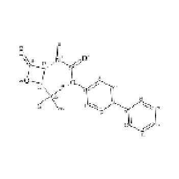 CN(C(=O)Oc1ccc(-c2ccccc2)cc1)[C@H]1C(=O)O[C@H]1C(C)(C)C